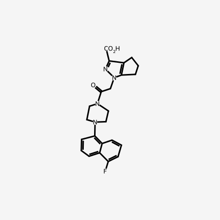 O=C(O)c1nn(CC(=O)N2CCN(c3cccc4c(F)cccc34)CC2)c2c1CCC2